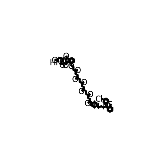 O=C(CCOc1cccc2c1C(=O)N(C1CCC(=O)NC1=O)C2=O)CCC(=O)CCC(=O)CCC(=O)CCC(=O)CCC(=O)N1CCN(CCCN2c3ccccc3Sc3ccc(Cl)cc32)CC1